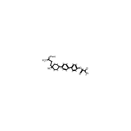 CCCCCC(C)CCC1(C#N)CCC(c2ccc(-c3ccc(OC(=O)C(Cl)C(C)C)cc3)cc2)CC1